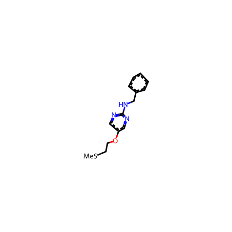 CSCCOc1cnc(NCc2ccccc2)nc1